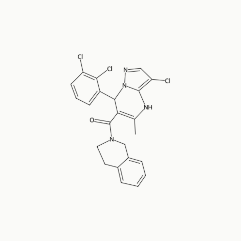 CC1=C(C(=O)N2CCc3ccccc3C2)C(c2cccc(Cl)c2Cl)n2ncc(Cl)c2N1